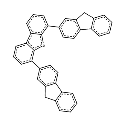 c1ccc2c(c1)Cc1cc(-c3cccc4c3sc3c(-c5ccc6c(c5)Cc5ccccc5-6)cccc34)ccc1-2